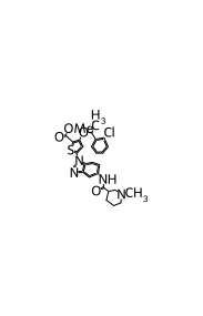 COC(=O)c1sc(-n2cnc3cc(NC(=O)C4CCCN(C)C4)ccc32)cc1OC(C)c1ccccc1Cl